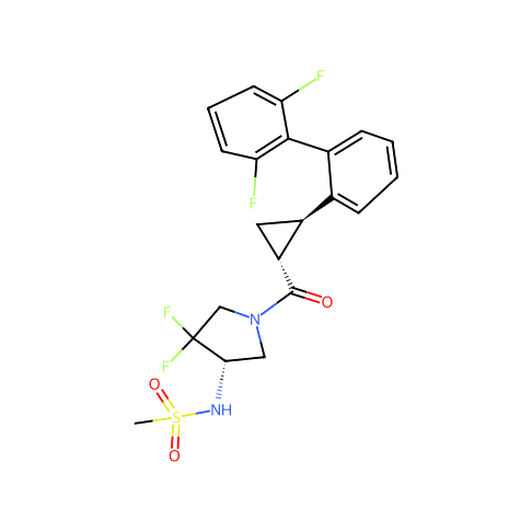 CS(=O)(=O)N[C@H]1CN(C(=O)[C@@H]2C[C@H]2c2ccccc2-c2c(F)cccc2F)CC1(F)F